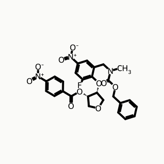 CN(Cc1cc([N+](=O)[O-])cc(F)c1O[C@@H]1COC[C@@H]1OC(=O)c1ccc([N+](=O)[O-])cc1)C(=O)OCc1ccccc1